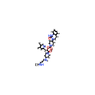 CCNCCCN(C)C1CCN(C(=O)[C@@H](Cc2cc(C)c(C)cn2)OC(=O)N2CCC(N3CCc4ccccc4NC3=O)CC2)CC1